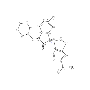 CN(C)c1ccc2c(c1)CO/C2=C1/C(=O)N(CN2CCCCC2)c2ccc(Cl)cc21